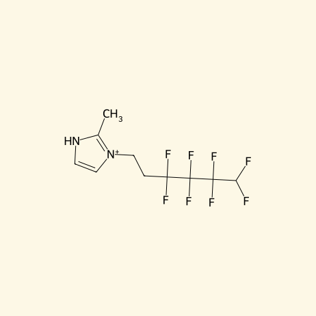 Cc1[nH]cc[n+]1CCC(F)(F)C(F)(F)C(F)(F)C(F)F